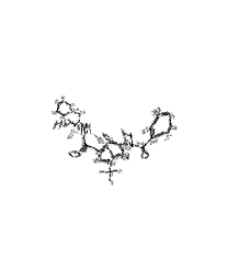 CC(C)(C)n1nc(C(=O)N[C@@H](CO)Cc2ccccc2)c2sc(NC(=O)c3ccccc3)nc21